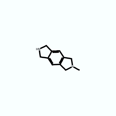 CN1Cc2cc3c(cc2C1)CNC3